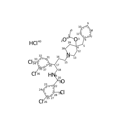 CC(=O)OC1(Cc2ccccc2)CCN(CCC(CNC(=O)c2ccc(Cl)cc2Cl)c2ccc(Cl)c(Cl)c2)CC1.Cl